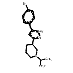 CC(C(=O)O)N1CCCC(c2cc(-c3ccc(Br)cc3)[nH]n2)C1